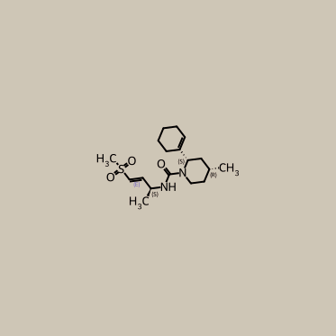 C[C@@H]1CCN(C(=O)N[C@@H](C)/C=C/S(C)(=O)=O)[C@H](C2=CCCCC2)C1